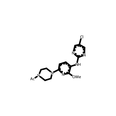 COc1nc(N2CCN(C(C)=O)CC2)ccc1Nc1ncc(Cl)cn1